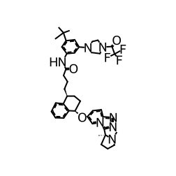 CN1CCC[C@@]1(C)c1nnc2ccc(O[C@@H]3CC[C@H](CCCC(=O)Nc4cc(N5CCN(C(=O)C(F)(F)F)CC5)cc(C(C)(C)C)c4)c4ccccc43)cn12